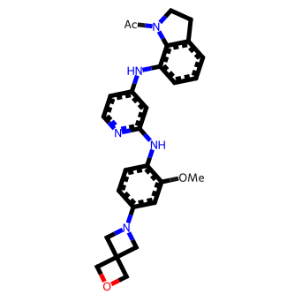 COc1cc(N2CC3(COC3)C2)ccc1Nc1cc(Nc2cccc3c2N(C(C)=O)CC3)ccn1